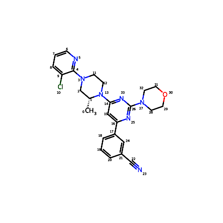 C[C@@H]1CN(c2ncccc2Cl)CCN1c1cc(-c2cccc(C#N)c2)nc(N2CCOCC2)n1